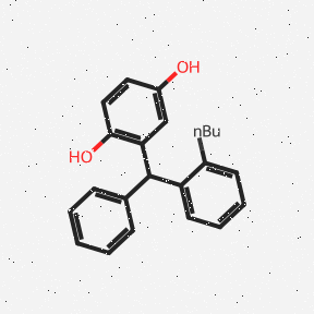 CCCCc1ccccc1C(c1ccccc1)c1cc(O)ccc1O